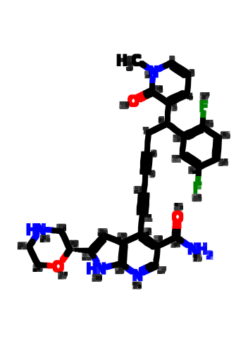 Cn1cccc(C(CC#CC#Cc2c(C(N)=O)cnc3[nH]c([C@H]4CNCCO4)cc23)c2cc(F)ccc2F)c1=O